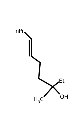 CCCC=CCCC(C)(O)CC